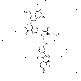 COc1cc(N2CC(C)C(=O)c3ncc(CC(OCCNc4ccc5c(c4)C(=O)N(C4CCC(=O)NC4=O)C5=O)C(=O)NC(=O)O)cc32)cc(OC)c1CN(C)C